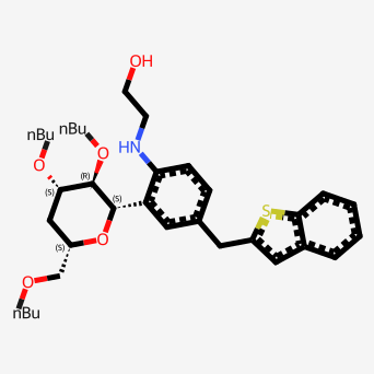 CCCCOC[C@@H]1C[C@H](OCCCC)[C@@H](OCCCC)[C@H](c2cc(Cc3cc4ccccc4s3)ccc2NCCO)O1